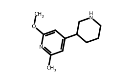 COc1cc(C2CCCNC2)cc(C)n1